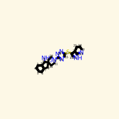 N[C@@H]1c2ccccc2CC12CCN(c1ncc(Sc3c[nH]c4ncccc34)nn1)CC2